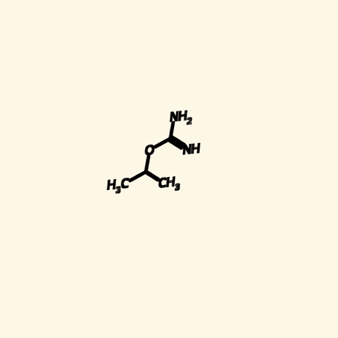 CC(C)OC(=N)N